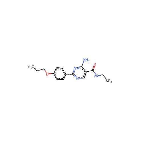 CCCOc1ccc(-c2ncc(C(=O)NCC)c(N)n2)cc1